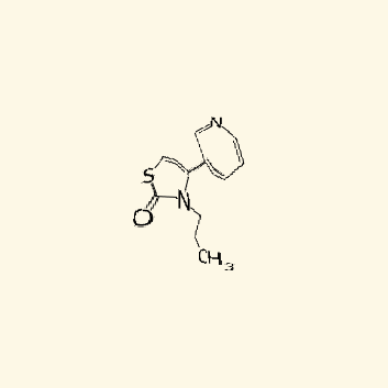 CCCn1c(-c2cccnc2)csc1=O